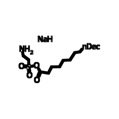 CCCCCCCCCCCCCCCCCC(=O)OS(=O)(=O)CCN.[NaH]